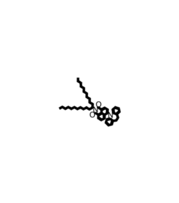 CCCCCCCCCCCC(CCCCCCCCCCC)N1C(=O)c2cccc3c(N4c5ccccc5CCc5ccccc54)ccc(c23)C1=O